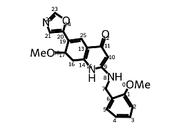 COc1ccccc1CNc1cc(=O)c2c([nH]1)CC(OC)C(c1cnco1)=C2